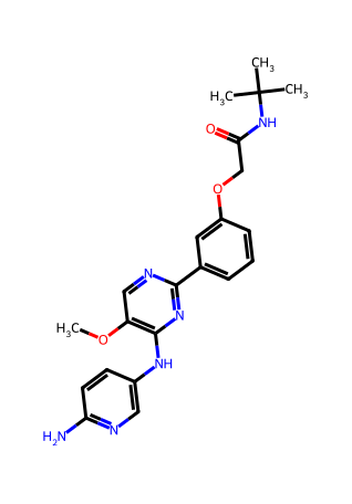 COc1cnc(-c2cccc(OCC(=O)NC(C)(C)C)c2)nc1Nc1ccc(N)nc1